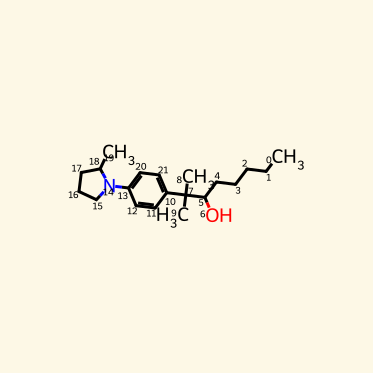 CCCCCC(O)C(C)(C)c1ccc(N2CCCC2C)cc1